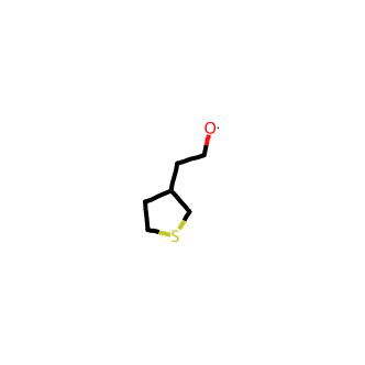 [O]CCC1CCSC1